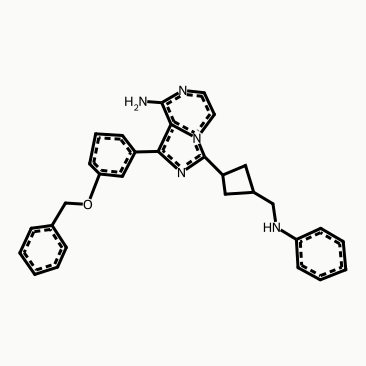 Nc1nccn2c(C3CC(CNc4ccccc4)C3)nc(-c3cccc(OCc4ccccc4)c3)c12